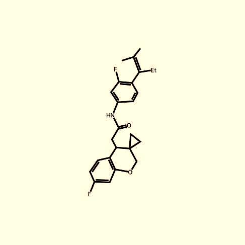 CCC(=C(C)C)c1ccc(NC(=O)CC2c3ccc(F)cc3OCC23CC3)cc1F